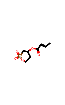 C/C=C/C(=O)OC1CCOS(=O)(=O)C1